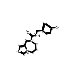 O=C(NCc1ccc(Cl)cc1)N1CCCn2cncc2C1